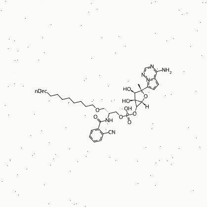 CCCCCCCCCCCCCCCCCCOC[C@H](COP(=O)(O)OC1[C@H]2O[C@@](C)(c3ccc4c(N)ncnn34)[C@H](O)[C@@]12O)NC(=O)c1ccccc1C#N